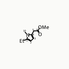 CCc1ccc(CC(=O)OC)n1C